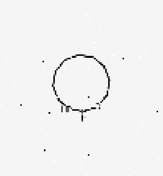 C1CCCCOPPCCCC1